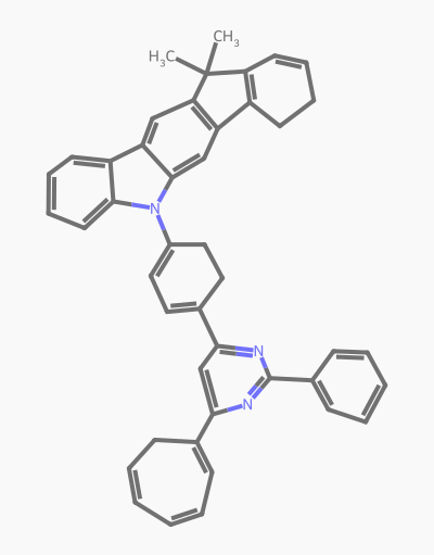 CC1(C)C2=C(CCC=C2)c2cc3c(cc21)c1ccccc1n3C1=CC=C(c2cc(C3=CC=CC=CC3)nc(-c3ccccc3)n2)CC1